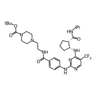 CC(C)NC(=O)[C@H]1CCC[C@H]1Nc1nc(Nc2ccc(C(=O)NCCN3CCN(C(=O)OC(C)(C)C)CC3)cc2)ncc1C(F)(F)F